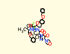 CC(C)C(COCc1ccccc1)NC(=O)C(F)(F)C(=O)C(Cc1ccc(OCc2ccccc2)cc1)NC(=O)C(NC(=O)C(=O)CN1CCOCC1)C(C)C